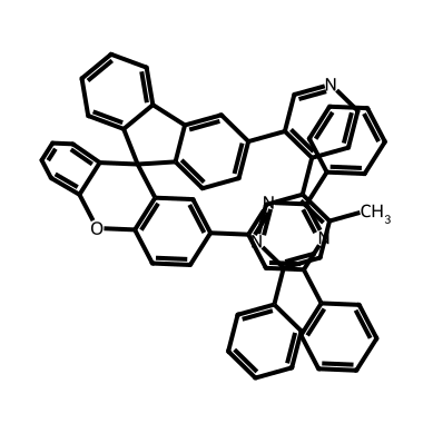 Cc1cc(-c2ccccc2)ncc1-c1ccncc1-c1ccc2c(c1)-c1ccccc1C21c2ccccc2Oc2ccc(-c3cc(-c4ccccc4)nc(-c4ccccc4)n3)cc21